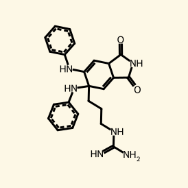 N=C(N)NCCCC1(Nc2ccccc2)C=C2C(=O)NC(=O)C2C=C1Nc1ccccc1